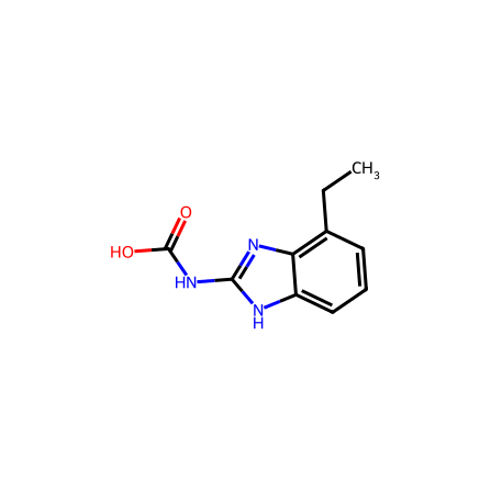 CCc1cccc2[nH]c(NC(=O)O)nc12